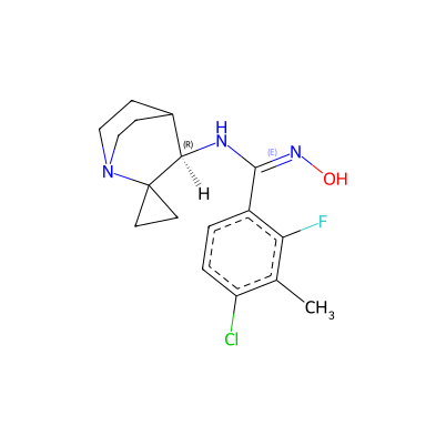 Cc1c(Cl)ccc(/C(=N\O)N[C@@H]2C3CCN(CC3)C23CC3)c1F